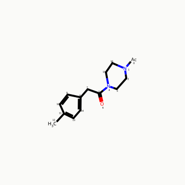 CC(=O)N1CCN(C(=O)Cc2ccc(C)cc2)CC1